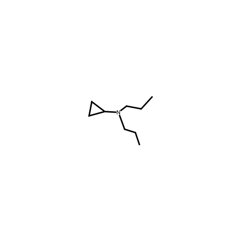 CCCN(CCC)C1CC1